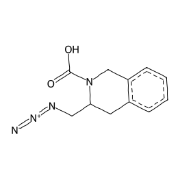 [N-]=[N+]=NCC1Cc2ccccc2CN1C(=O)O